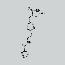 O=C1NC(=O)[C@H](Cc2ccc(CCNC(=O)c3ccco3)cc2)S1